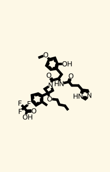 CCCCOC1(c2ccccc2C)CN(C(=O)C(Cc2ccc(OC)cc2O)NC(=O)CCc2cnc[nH]2)C1.O=C(O)C(F)(F)F